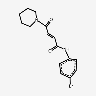 O=C(C=CC(=O)N1CCCCC1)Nc1ccc(Br)cc1